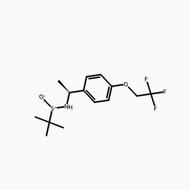 C[C@H](N[S+]([O-])C(C)(C)C)c1ccc(OCC(F)(F)F)cc1